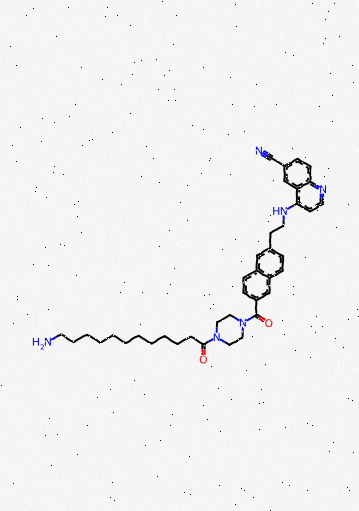 N#Cc1ccc2nccc(NCCc3ccc4cc(C(=O)N5CCN(C(=O)CCCCCCCCCCCN)CC5)ccc4c3)c2c1